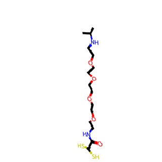 CC(C)NCCOCCOCCOCCOCCNC(=O)C(S)S